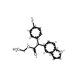 CCOC(=O)C(c1ccc(F)cc1)c1ccc2occc2c1